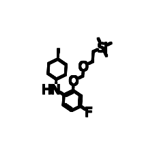 C[Si](C)(C)CCOCOc1cc(F)ccc1N[C@H]1CC[C@H](C)CC1